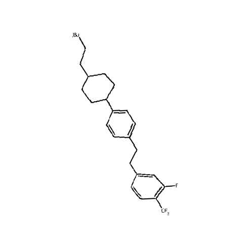 CCC(C)CCC1CCC(c2ccc(CCc3ccc(C(F)(F)F)c(F)c3)cc2)CC1